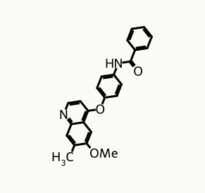 COc1cc2c(Oc3ccc(NC(=O)c4ccccc4)cc3)ccnc2cc1C